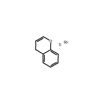 C1=COc2ccccc2C1.[Sb].[Ti]